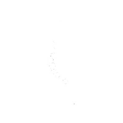 CC(C)CCCC(C)CCc1ccc(-c2cc3sc4cc5sc6cc(/C=C/C=C(\S)CCC(C)CCCC(I)I)sc6c5cc4c3s2)s1